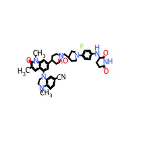 Cc1cc2c(N3CCN(C)c4ccc(C#N)cc43)cc(C3CCN(CC4(O)CCN(c5ccc(NC6CCC(=O)NC6=O)cc5F)CC4)CC3)cc2n(C)c1=O